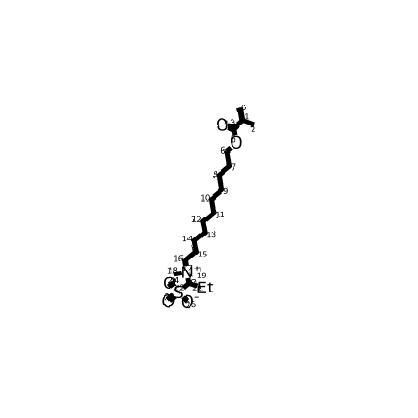 C=C(C)C(=O)OCCCCCCCCCCC[N+](C)(C)C(CC)S(=O)(=O)[O-]